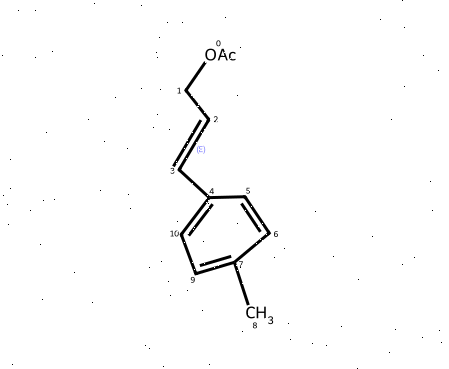 CC(=O)OC/C=C/c1ccc(C)cc1